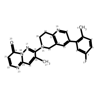 Cc1ccc(F)cc1-c1cnc2c(c1)CN(c1nn3c(=O)ccnc3cc1C)CC2